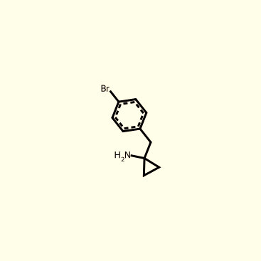 NC1(Cc2ccc(Br)cc2)CC1